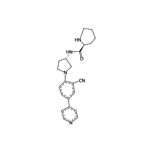 N#Cc1cc(-c2ccncc2)ccc1N1CC[C@H](NC(=O)[C@@H]2CCCCN2)C1